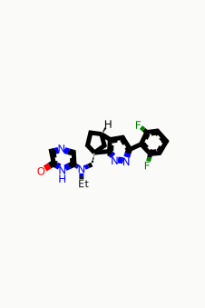 CCN(C[C@]12CC[C@H](C1)c1cc(-c3c(F)cccc3F)nnc12)c1cncc(=O)[nH]1